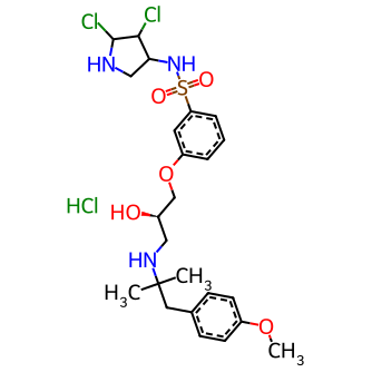 COc1ccc(CC(C)(C)NC[C@@H](O)COc2cccc(S(=O)(=O)NC3CNC(Cl)C3Cl)c2)cc1.Cl